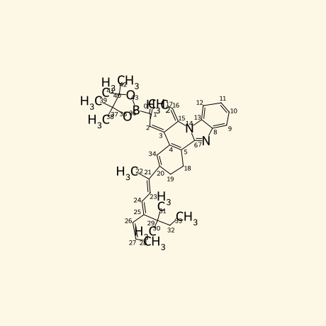 C=C(/C=c1/c2c(c3nc4ccccc4n3/c1=C/C)CCC(/C(C)=C/C=C(/C=C\C)C(C)(C)CC)=C2)B1OC(C)(C)C(C)(C)O1